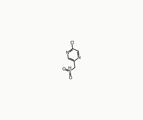 O=[SH](=O)Cc1cnc(Cl)cn1